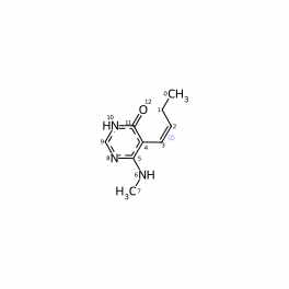 CC/C=C\c1c(NC)nc[nH]c1=O